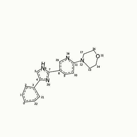 c1ccc(-c2c[nH]c(-c3ccc(N4CCOCC4)nc3)n2)cc1